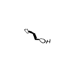 O/C=C/Cl